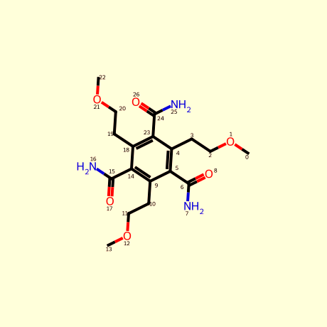 COCCc1c(C(N)=O)c(CCOC)c(C(N)=O)c(CCOC)c1C(N)=O